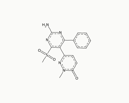 Cn1nc(-c2c(-c3ccccc3)nc(N)nc2S(C)(=O)=O)ccc1=O